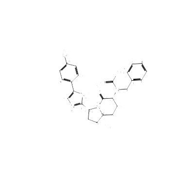 O=C(O)N(Cc1ccccc1)[C@H]1CC[C@H]2CC[C@@H](c3ncc(-c4ccc(Br)cc4)[nH]3)N2C1=O